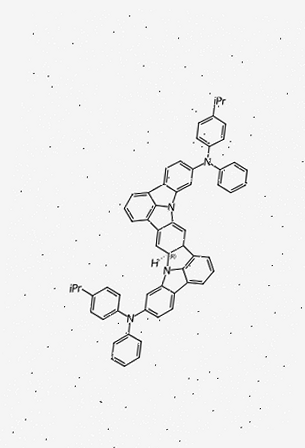 CC(C)c1ccc(N(c2ccccc2)c2ccc3c4cccc5c4n(c3c2)[C@H]2C=c3c(n4c6cc(N(c7ccccc7)c7ccc(C(C)C)cc7)ccc6c6cccc3c64)=CC52)cc1